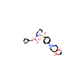 O=C(OCc1ccccc1)[C@@H]1CCCN1S(=O)(=O)c1ccc(N2CCC3(CC2)OCCO3)cc1